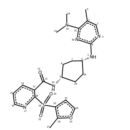 Cc1cnc(N[C@H]2CC[C@@H](NC(=O)c3cccnc3S(=O)(=O)c3ccoc3C)CC2)nc1N(C)C